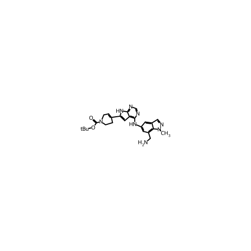 Cn1ncc2cc(Nc3ncnc4[nH]c(C5=CCN(C(=O)OC(C)(C)C)CC5)cc34)cc(CN)c21